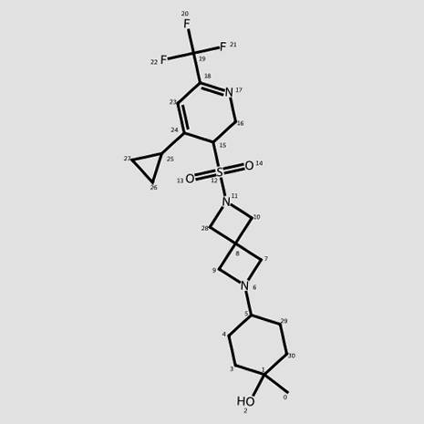 CC1(O)CCC(N2CC3(C2)CN(S(=O)(=O)C2CN=C(C(F)(F)F)C=C2C2CC2)C3)CC1